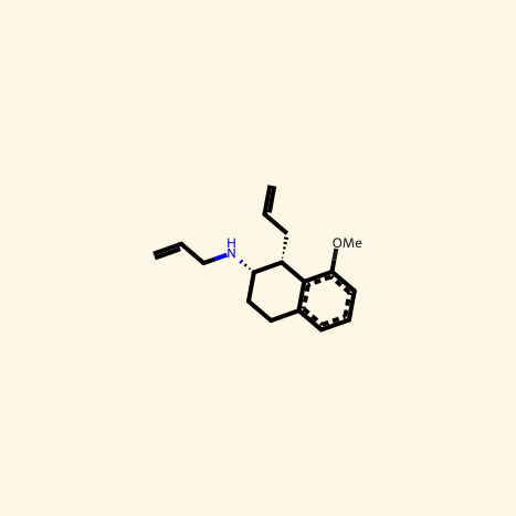 C=CCN[C@H]1CCc2cccc(OC)c2[C@H]1CC=C